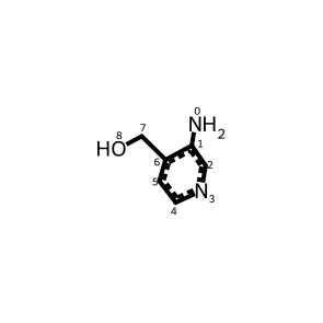 Nc1cnccc1CO